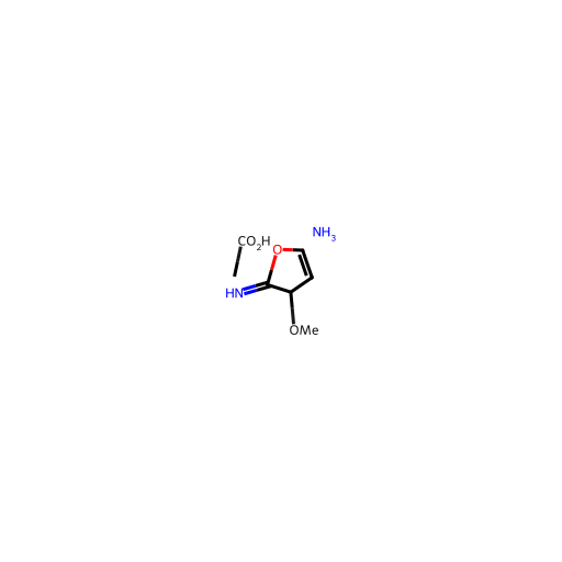 CC(=O)O.COC1C=COC1=N.N